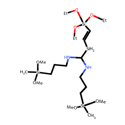 CCO[Si](C=C[SiH2]C(NCCC[Si](C)(OC)OC)NCCC[Si](C)(OC)OC)(OCC)OCC